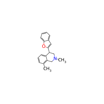 Cc1cccc2c1CN(C)CC2c1cc2ccccc2o1